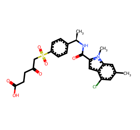 Cc1cc(Cl)c2cc(C(=O)N[C@H](C)c3ccc(S(=O)(=O)CC(=O)CCC(=O)O)cc3)n(C)c2c1